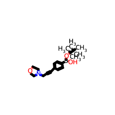 CC(C)(C)C(C)(C)OB(O)c1ccc(C#CCN2CCOCC2)cc1